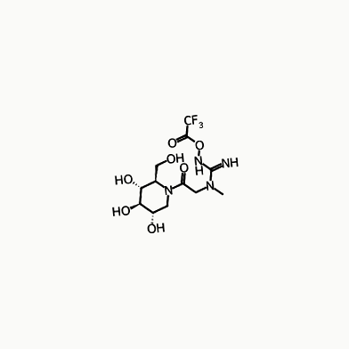 CN(CC(=O)N1C[C@H](O)[C@@H](O)[C@H](O)[C@H]1CO)C(=N)NOC(=O)C(F)(F)F